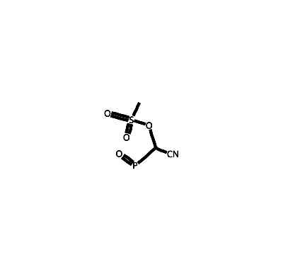 CS(=O)(=O)OC(C#N)P=O